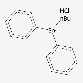 CCC[CH2][Sn]([c]1ccccc1)[c]1ccccc1.Cl